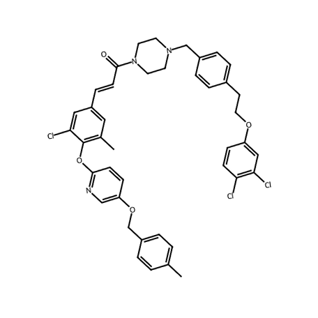 Cc1ccc(COc2ccc(Oc3c(C)cc(C=CC(=O)N4CCN(Cc5ccc(CCOc6ccc(Cl)c(Cl)c6)cc5)CC4)cc3Cl)nc2)cc1